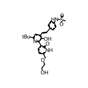 CC(C)(C)c1cc(/C=C/c2ccc(NS(C)(=O)=O)cc2)c(O)c(-c2ccc(COCCO)[nH]c2=O)n1